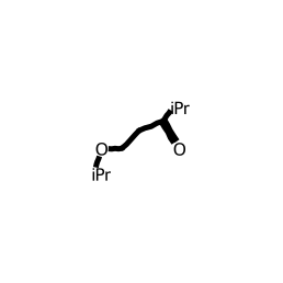 CC(C)OCCC(=O)C(C)C